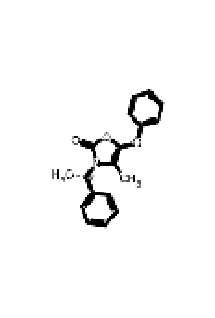 Cc1c(Oc2ccccc2)oc(=O)n1[C@@H](C)c1ccccc1